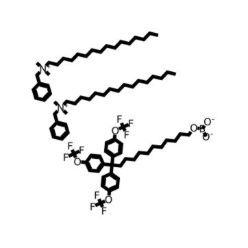 CCCCCCCCCCCCCCCC[N+](C)(C)Cc1ccccc1.CCCCCCCCCCCCCCCC[N+](C)(C)Cc1ccccc1.[O-]B([O-])OCCCCCCCCCCCC(c1ccc(OC(F)(F)F)cc1)(c1ccc(OC(F)(F)F)cc1)c1ccc(OC(F)(F)F)cc1